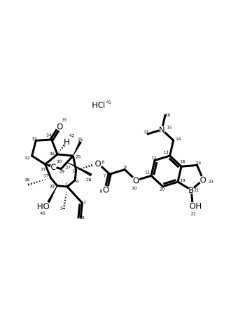 C=C[C@]1(C)C[C@@H](OC(=O)COc2cc(CN(C)C)c3c(c2)B(O)OC3)[C@]2(C)[C@H](C)CC[C@]3(CCC(=O)[C@H]32)[C@@H](C)[C@@H]1O.Cl